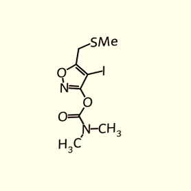 CSCc1onc(OC(=O)N(C)C)c1I